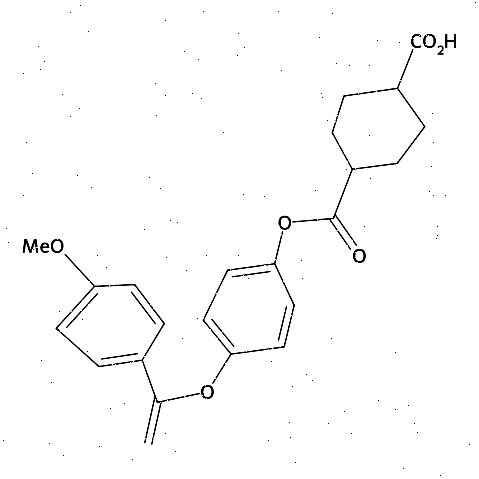 C=C(Oc1ccc(OC(=O)C2CCC(C(=O)O)CC2)cc1)c1ccc(OC)cc1